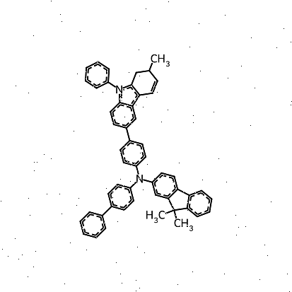 CC1C=Cc2c(n(-c3ccccc3)c3ccc(-c4ccc(N(c5ccc(-c6ccccc6)cc5)c5ccc6c(c5)C(C)(C)c5ccccc5-6)cc4)cc23)C1